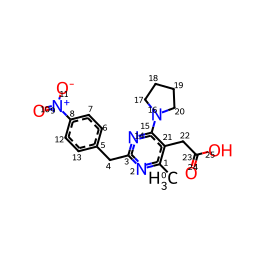 Cc1nc(Cc2ccc([N+](=O)[O-])cc2)nc(N2CCCC2)c1CC(=O)O